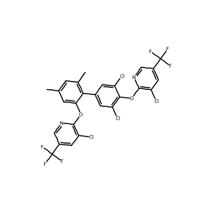 Cc1[c]c(C)c(-c2cc(Cl)c(Oc3ncc(C(F)(F)F)cc3Cl)c(Cl)c2)c(Oc2ncc(C(F)(F)F)cc2Cl)c1